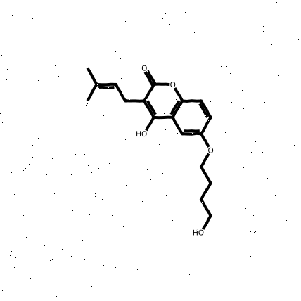 CC(C)=CCc1c(O)c2cc(OCCCCO)ccc2oc1=O